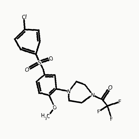 COc1ccc(S(=O)(=O)c2ccc(Cl)cc2)cc1N1CCN(C(=O)C(F)(F)F)CC1